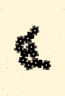 c1ccc(-c2nc3cc(-c4cccc(-c5cccc(-c6nc(-c7cccc(-c8cccc(-c9ccc%10oc(-c%11ccccc%11)nc%10c9)c8)c7)nc(-n7c8ccccc8c8ccccc87)n6)c5)c4)ccc3o2)cc1